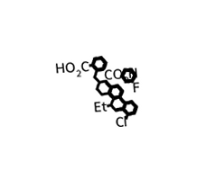 CCC1C=c2c(Cl)cccc2=c2ccc3c(c21)CCC(Cc1c(C(=O)O)cccc1C(=O)O)C=3.Fc1ccccc1